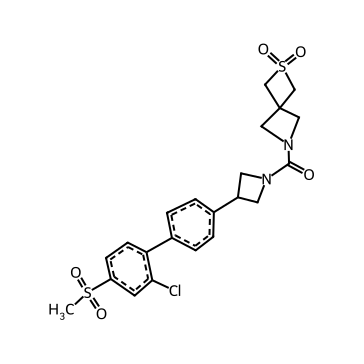 CS(=O)(=O)c1ccc(-c2ccc(C3CN(C(=O)N4CC5(C4)CS(=O)(=O)C5)C3)cc2)c(Cl)c1